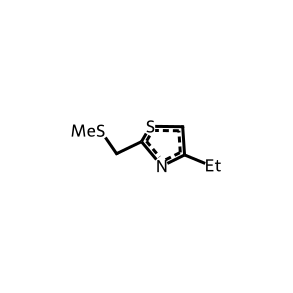 [CH2]Cc1csc(CSC)n1